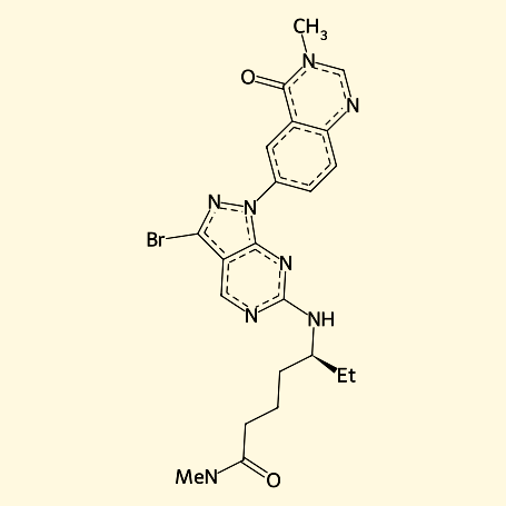 CC[C@@H](CCCC(=O)NC)Nc1ncc2c(Br)nn(-c3ccc4ncn(C)c(=O)c4c3)c2n1